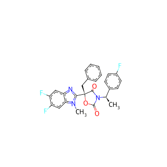 C[C@H](c1ccc(F)cc1)N1C(=O)O[C@](Cc2ccccc2)(c2nc3cc(F)c(F)cc3n2C)C1=O